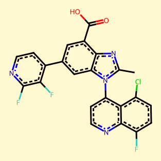 Cc1nc2c(C(=O)O)cc(-c3ccnc(F)c3F)cc2n1-c1ccnc2c(F)ccc(Cl)c12